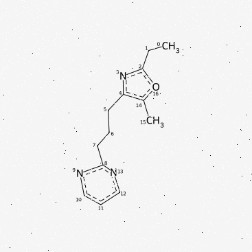 CCc1nc(CCCc2ncccn2)c(C)o1